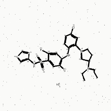 CCN(CC)C1CCN(c2cc(Cl)ccc2Nc2cc(F)c(S(=O)(=O)Nc3cscn3)cc2Cl)C1.Cl